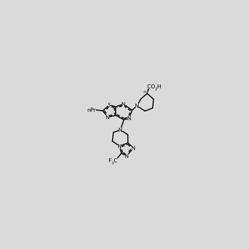 CCCc1nc2c(N3CCn4c(nnc4C(F)(F)F)C3)nc(N3CCC[C@H](C(=O)O)C3)nc2s1